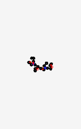 c1ccc(-c2cccc(N(c3ccc(-c4cccc5oc6c7ccccc7ccc6c45)cc3)c3cccc4c3sc3cc(-c5ccc(-c6ccc(N(c7ccc(-c8cccc9ccccc89)cc7)c7cccc8c7sc7ccccc78)cc6)c6c5oc5c7ccccc7ccc56)ccc34)c2)cc1